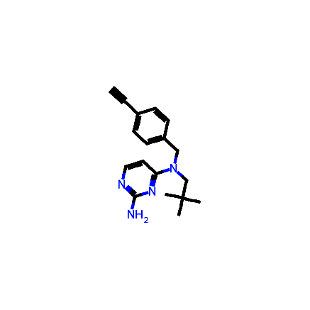 C#Cc1ccc(CN(CC(C)(C)C)c2ccnc(N)n2)cc1